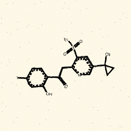 CCS(=O)(=O)c1cc(C2(C#N)CC2)cnc1CC(=O)c1ccc(I)cc1O